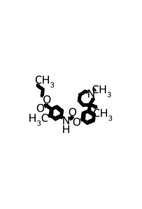 CCCCOC(=O)c1ccc(NC(=O)Oc2cccc(C3(CC)CCCCN(C)C3)c2)cc1C